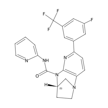 O=C(Nc1ccccn1)N1c2nc(-c3cc(F)cc(C(F)(F)F)c3)ccc2N2CC[C@H]1C2